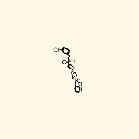 O=C(NCCc1cccc(Cl)c1)c1ccc(N2CCN(C(=O)Cc3cccnc3Cl)CC2)nc1